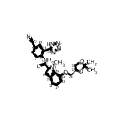 Cn1c(C(=O)Nc2ccc(C#N)cc2-c2nnn[nH]2)cc2cccc(OC[C@H]3COC(C)(C)O3)c21